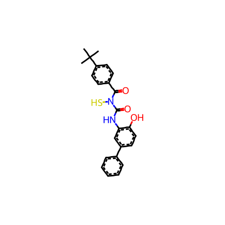 CC(C)(C)c1ccc(C(=O)N(S)C(=O)Nc2cc(-c3ccccc3)ccc2O)cc1